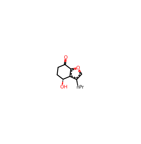 CCCc1coc2c1[C@@H](O)CCC2=O